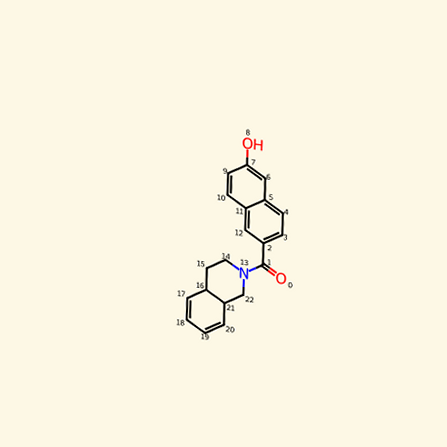 O=C(c1ccc2cc(O)ccc2c1)N1CCC2C=CC=CC2C1